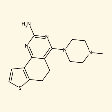 CN1CCN(c2nc(N)nc3c2CCc2sccc2-3)CC1